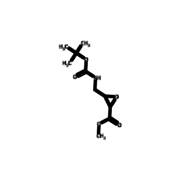 COC(=O)C1OC1CNC(=O)OC(C)(C)C